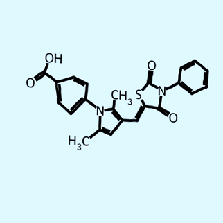 Cc1cc(C=C2SC(=O)N(c3ccccc3)C2=O)c(C)n1-c1ccc(C(=O)O)cc1